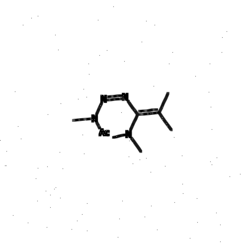 CC(=O)N(C)/N=N\C(=C(C)C)N(C)C